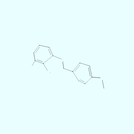 CSc1ccc(CNc2cccc(F)c2O)cc1